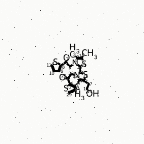 CC1=C(C)N(CC(=O)c2cccs2)C(C2SC(CCO)=C(C)N2CC(=O)c2cccs2)S1